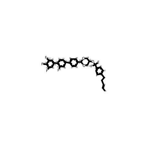 C/C=C/CCc1ccc(C(F)(F)OC2COC(c3ccc(-c4ccc(-c5cc(F)c(F)c(F)c5)c(F)c4)cc3)OC2)cc1